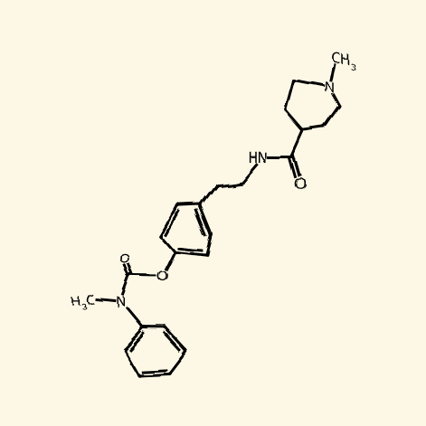 CN1CCC(C(=O)NCCc2ccc(OC(=O)N(C)c3ccccc3)cc2)CC1